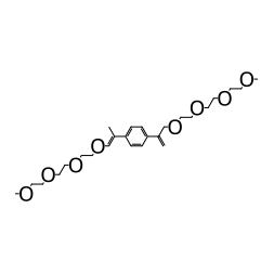 C=C(COCCOCCOCCOC)c1ccc(C(C)=COCCOCCOCCOC)cc1